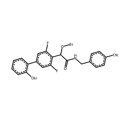 CCOC(C(=O)NCc1ccc(C#N)cc1)c1c(F)cc(-c2ccccc2O)cc1F